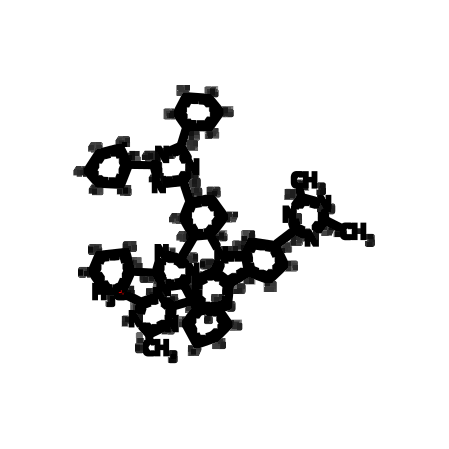 Cc1nc(C)nc(-c2ccc3c4ccc(-c5nc(C)nc(C)n5)cc4n(-c4ccc(-c5nc(-c6ccccc6)nc(-c6ccccc6)n5)cc4-c4nc(-c5ccccc5)nc(-c5ccccc5)n4)c3c2)n1